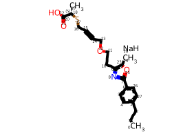 CCCc1ccc(-c2nc(CCOCC#CCS[C@@H](C)C(=O)O)c(C)o2)cc1.[NaH]